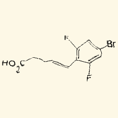 O=C(O)CCC=Cc1c(F)cc(Br)cc1F